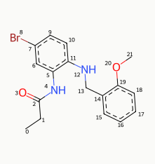 CCC(=O)Nc1cc(Br)ccc1NCc1ccccc1OC